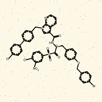 O=C(N[C@@H](Cc1ccc(OCc2ccc(Br)cc2)cc1)C(=O)S(=O)(=O)c1ccc(Cl)c([N+](=O)[O-])c1)c1cn(Cc2ccc(-c3ccc(Cl)cc3)cc2)c2ncccc12